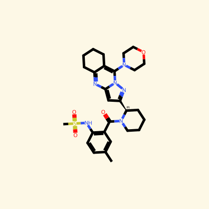 Cc1ccc(NS(C)(=O)=O)c(C(=O)N2CCCC[C@@H]2c2cc3nc4c(c(N5CCOCC5)n3n2)CCCC4)c1